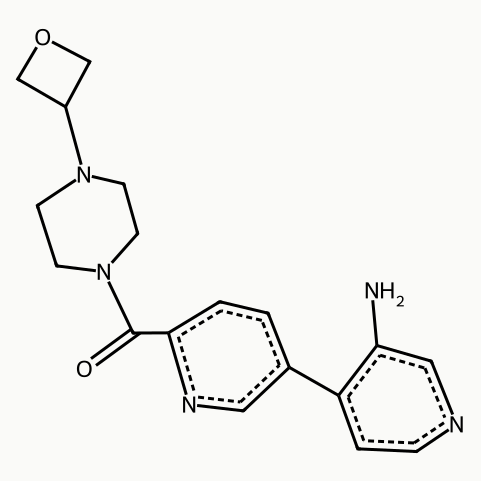 Nc1cnccc1-c1ccc(C(=O)N2CCN(C3COC3)CC2)nc1